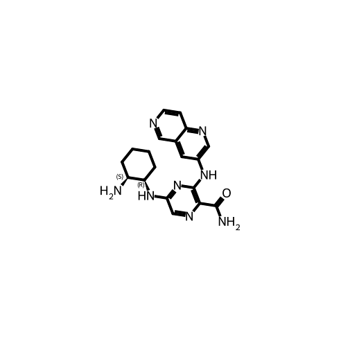 NC(=O)c1ncc(N[C@@H]2CCCC[C@@H]2N)nc1Nc1cnc2ccncc2c1